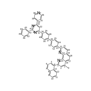 Cc1cc(-c2cccc3ccccc23)nc2c1ccc1ccc(-c3ccc(-c4ccc(-c5cc(-c6ccncc6)nc(-c6ccccc6)n5)cc4)cc3)nc12